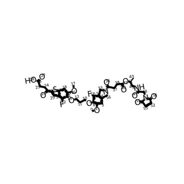 COc1cc2c(c(F)c1OCCCOc1c(OC)cc3sc(C(=O)CCC(=O)O)cc3c1F)CN(C(=O)CCC(=O)O[C@@H](C)CNC(=O)CN1C(=O)C=CC1=O)C2